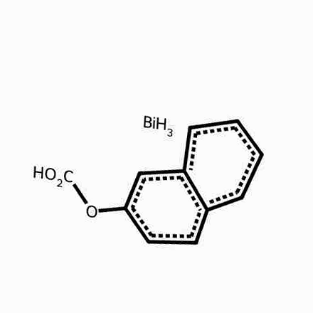 O=C(O)Oc1ccc2ccccc2c1.[BiH3]